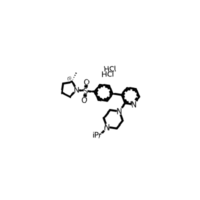 CC(C)N1CCN(c2ncccc2-c2ccc(S(=O)(=O)N3CCC[C@@H]3C)cc2)CC1.Cl.Cl